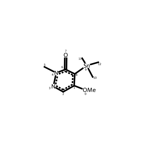 COc1cnn(C)c(=O)[c]1[Sn]([CH3])([CH3])[CH3]